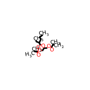 C=C(C)C(=O)OCC(COC(=O)C(=C)C)OC(=O)C(CC)CCCC